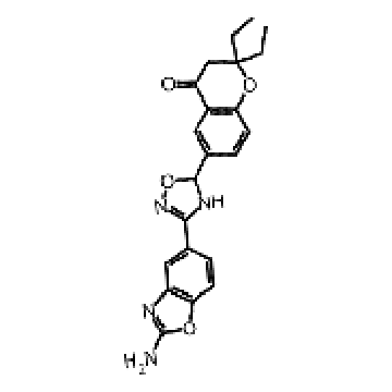 CCC1(CC)CC(=O)c2cc(C3NC(c4ccc5oc(N)nc5c4)=NO3)ccc2O1